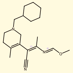 CO/C=N/C(C)=C(\C#N)C1=C(C)CCN(CC2CCCCC2)C1